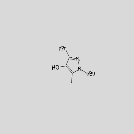 CCCCn1nc(CCC)c(O)c1C